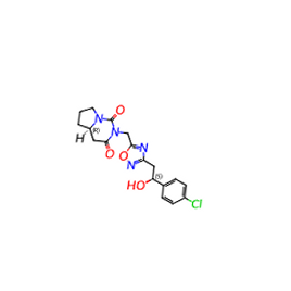 O=C1C[C@H]2CCCN2C(=O)N1Cc1nc(C[C@H](O)c2ccc(Cl)cc2)no1